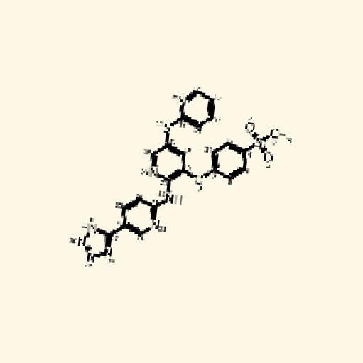 CS(=O)(=O)c1ccc(Oc2cc(Sc3ccccn3)cnc2Nc2ccc(-c3nnn[nH]3)cn2)cc1